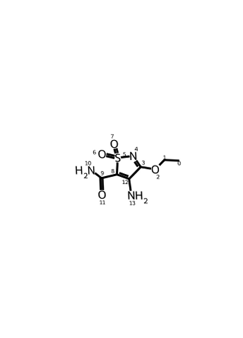 CCOC1=NS(=O)(=O)C(C(N)=O)=C1N